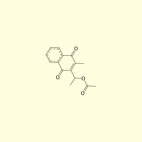 CC(=O)OC(C)C1=C(C)C(=O)c2ccccc2C1=O